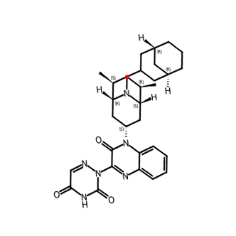 C[C@@H]1C[C@H](C)[C@H]2C[C@@H](n3c(=O)c(-n4ncc(=O)[nH]c4=O)nc4ccccc43)C[C@@H]1N2CC1C[C@@H]2CCC[C@@H](C1)C2